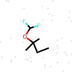 CCC(C)(C)OC(F)F